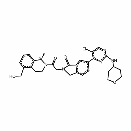 C[C@@H]1c2cccc(CO)c2CCN1C(=O)CN1Cc2ccc(-c3nc(NC4CCOCC4)ncc3Cl)cc2C1=O